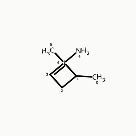 CC1CC=I1(C)N